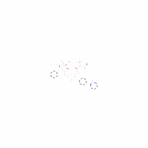 COC(=O)N[C@H](C(=O)N[C@@H](Cc1ccc(-c2ccccn2)cc1)C[C@H](O)[C@H](Cc1ccccc1)NC(=O)[C@@H](N(C)C(=O)O)C(C)(C)C)C(C)(C)C